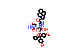 COc1ccc(C(OC[C@@H]2O[C@H](n3ccc(=O)[nH]c3=O)C(n3cc(C(=O)c4ccc5ccc6cccc7ccc4c5c67)nn3)C2O)(c2ccccc2)c2ccc(OC)cc2)cc1